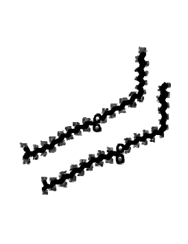 CCCCCCCC/C=C\CCCCCCCCOC(=O)CCCCCCCCCCCCCCC(C)C.CCCCCCCC/C=C\CCCCCCCCOC(=O)CCCCCCCCCCCCCCC(C)C